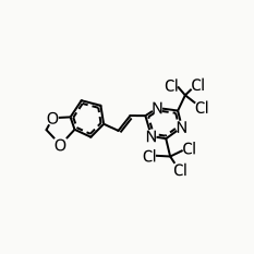 ClC(Cl)(Cl)c1nc(/C=C/c2ccc3c(c2)OCO3)nc(C(Cl)(Cl)Cl)n1